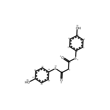 O=C(CC(=O)Sc1ccc(O)cc1)Sc1ccc(O)cc1